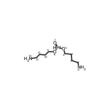 NCCCCO[PH](=O)OCCCCN